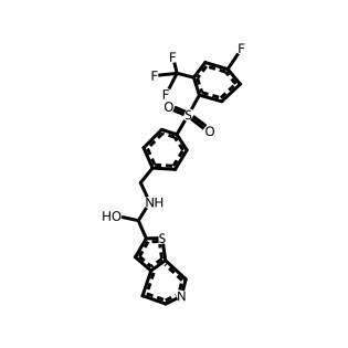 O=S(=O)(c1ccc(CNC(O)c2cc3ccncc3s2)cc1)c1ccc(F)cc1C(F)(F)F